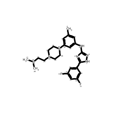 Cc1cc(Nc2n[nH]c(-c3cc(F)cc(F)c3)n2)cc(N2CCN(CCN(C)C)CC2)c1